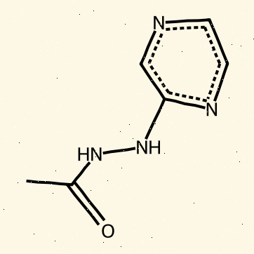 CC(=O)NNc1cnccn1